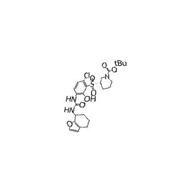 CC(C)(C)OC(=O)N1CCC[C@H](S(=O)(=O)c2c(Cl)ccc(NC(=O)NC3CCCc4ccoc43)c2O)C1